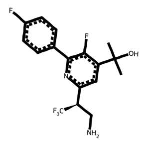 CC(C)(O)c1cc([C@@H](CN)C(F)(F)F)nc(-c2ccc(F)cc2)c1F